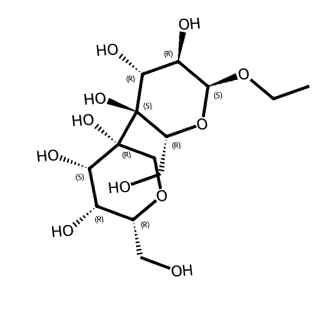 CCO[C@H]1O[C@H](CO)[C@](O)([C@@]2(O)CO[C@H](CO)[C@H](O)[C@@H]2O)[C@H](O)[C@H]1O